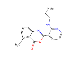 CNCCNc1ncccc1-c1nc2cccc(C)c2c(=O)o1